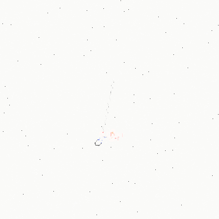 CCCCCCCCCCCCCCCCCCOC(COP(=O)(O)O)[n+]1ccccc1